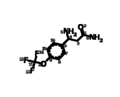 NC(=O)CC(N)c1ccc(OC(F)(F)F)cc1